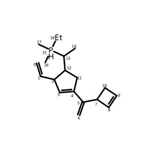 C=CC1C=C(C(=C)C2C=CC2)CC1C(C)[PH](C)(C)CC